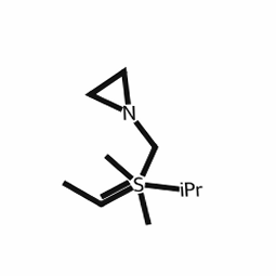 CC=S(C)(C)(CN1CC1)C(C)C